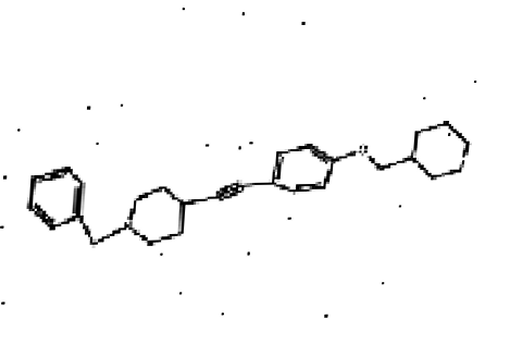 C(#CC1CCN(Cc2ccccc2)CC1)c1ccc(OCC2CCCCC2)cc1